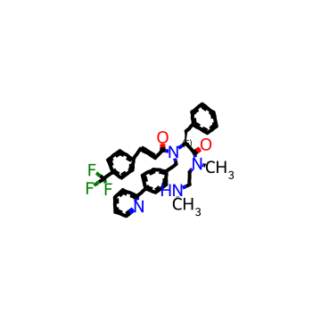 CNCCN(C)C(=O)[C@H](Cc1ccccc1)N(Cc1ccc(-c2ccccn2)cc1)C(=O)C=Cc1ccc(C(F)(F)F)cc1